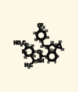 CC(NC(=O)c1cccc2c1N(Cc1ccc(C(F)(F)F)cc1)CC21CC1)c1ccc(C(=O)O)nc1